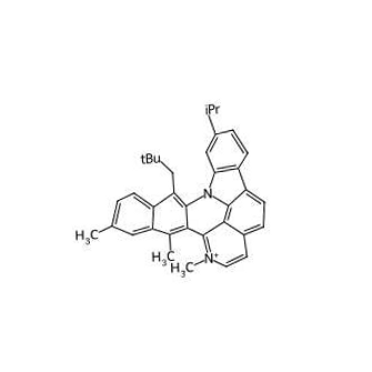 Cc1ccc2c(CC(C)(C)C)c3c(c(C)c2c1)c1c2c(ccc4c5ccc(C(C)C)cc5n3c42)cc[n+]1C